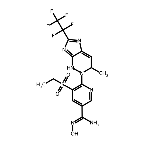 CCS(=O)(=O)c1cc(C(N)=NO)cnc1N1NC2=NC(C(F)(F)C(F)(F)F)=NC2=CC1C